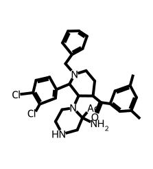 CC(=O)C1(N)CNCCN1C1C(C(=O)c2cc(C)cc(C)c2)CCN(Cc2ccccc2)C1c1ccc(Cl)c(Cl)c1